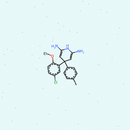 CCOc1ccc(Cl)cc1C1(c2ccc(C)cc2)C=C(N)NC(N)=C1